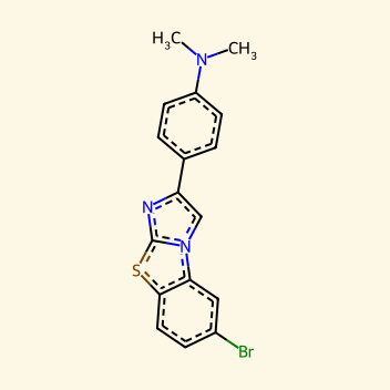 CN(C)c1ccc(-c2cn3c(n2)sc2ccc(Br)cc23)cc1